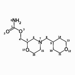 NC(=O)OCC1CN(CC2CCOCC2)CCO1